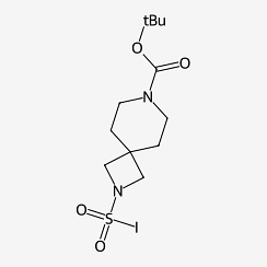 CC(C)(C)OC(=O)N1CCC2(CC1)CN(S(=O)(=O)I)C2